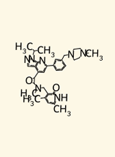 Cc1cc(C)c(CN(C)C2OC2c2cc(-c3cccc(CN4CCN(C)CC4)c3)nc3c2cnn3C(C)C)c(=O)[nH]1